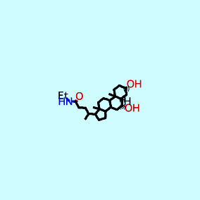 CCNC(=O)CCC(C)C1CCC2C3C[C@H](O)[C@@H]4C[C@H](O)CCC4(C)C3CCC12C